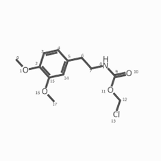 COc1ccc(CCNC(=O)OCCl)cc1OC